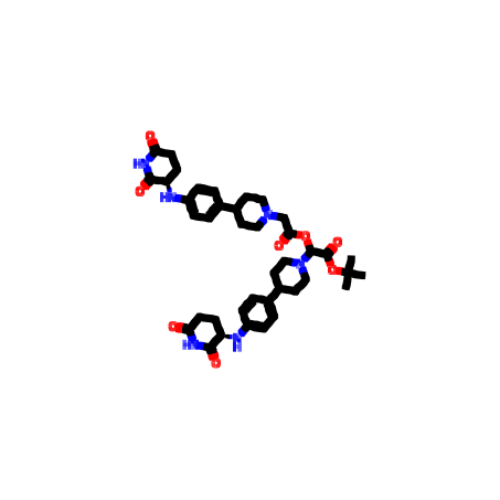 CC(C)(C)OC(=O)C(OC(=O)CN1CCC(c2ccc(N[C@H]3CCC(=O)NC3=O)cc2)CC1)N1CCC(c2ccc(N[C@H]3CCC(=O)NC3=O)cc2)CC1